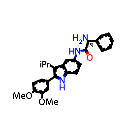 COc1ccc(-c2[nH]c3ccc(NC(=O)[C@@H](N)c4ccccc4)cc3c2C(C)C)cc1OC